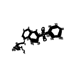 NCC[C@@H]1CCCc2cc(S(=O)(=O)c3ccccc3)ccc21